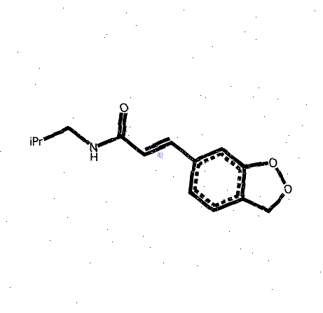 CC(C)CNC(=O)/C=C/c1ccc2c(c1)OOC2